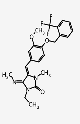 CCN1C(=O)N(C)C(=C\c2ccc(OCc3ccccc3C(F)(F)F)c(OC)c2)/C1=N\C